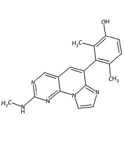 CNc1ncc2cc(-c3c(C)ccc(O)c3C)c3nccn3c2n1